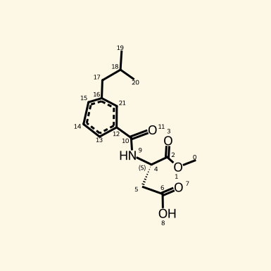 COC(=O)[C@H](CC(=O)O)NC(=O)c1cccc(CC(C)C)c1